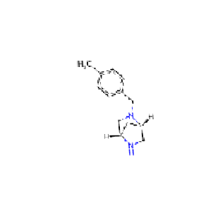 Cc1ccc(CN2C[C@@H]3C[C@H]2CN3)cc1